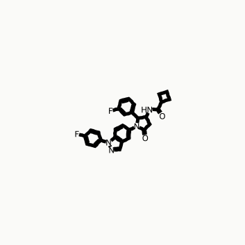 O=C(NC1CC(=O)N(c2ccc3c(cnn3-c3ccc(F)cc3)c2)C1c1cccc(F)c1)C1CCC1